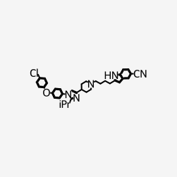 CC(C)c1nc(C2CCN(CCCCc3cc4cc(C#N)ccc4[nH]3)CC2)cn1-c1ccc(Oc2ccc(Cl)cc2)cc1